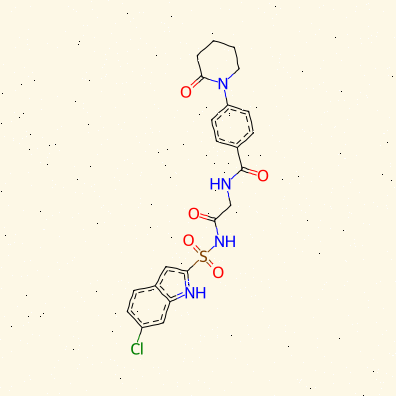 O=C(CNC(=O)c1ccc(N2CCCCC2=O)cc1)NS(=O)(=O)c1cc2ccc(Cl)cc2[nH]1